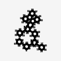 c1ccc(-c2cccc(-c3nc(-c4ccccc4)nc(-c4cccc(-c5cc(-c6ccccc6)nc6cc7c(cc56)-c5ccccc5C75c6ccccc6-c6ccccc65)c4)n3)c2)cc1